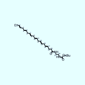 CCC=CCC=CCC=CCC=CCC=CCC=CCCC(=O)NCCNC(=O)OC(C)(C)C